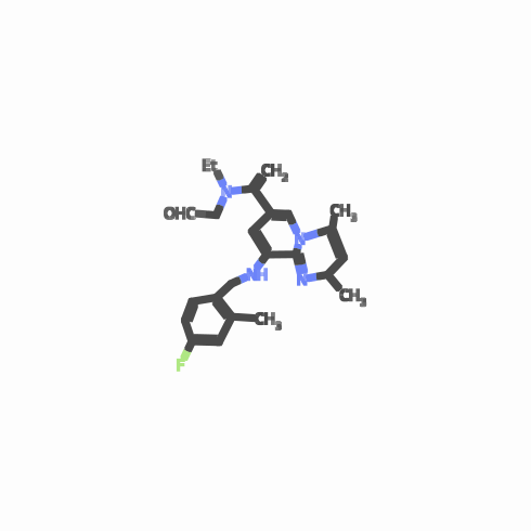 C=C(C1=CN2C(C)=CC(C)N=C2C(NCc2ccc(F)cc2C)=C1)N(CC)CC=O